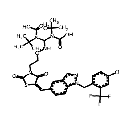 CC(C)(C)N(C(=O)O)C(NOCCN1C(=O)SC(=Cc2ccc3c(cnn3Cc3ccc(Cl)cc3C(F)(F)F)c2)C1=O)N(C(=O)O)C(C)(C)C